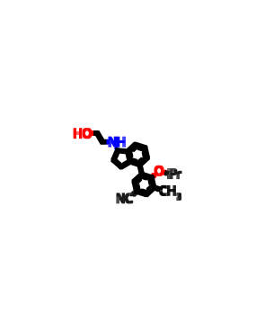 Cc1cc(C#N)cc(-c2cccc3c2CC[C@@H]3NCCO)c1OC(C)C